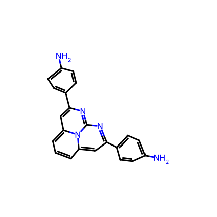 Nc1ccc(C2=CC3=CC=CC4=CC(c5ccc(N)cc5)=NC(=N2)N34)cc1